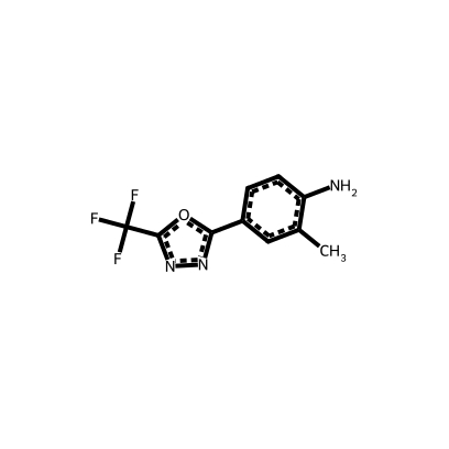 Cc1cc(-c2nnc(C(F)(F)F)o2)ccc1N